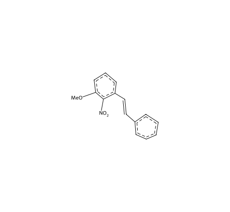 COc1cccc(C=Cc2ccccc2)c1[N+](=O)[O-]